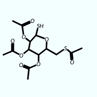 CC(=O)OC1C(S)OC(CSC(C)=O)C(OC(C)=O)C1OC(C)=O